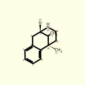 CC1[C@@H]2Cc3ccccc3[C@]1(C)CCN2